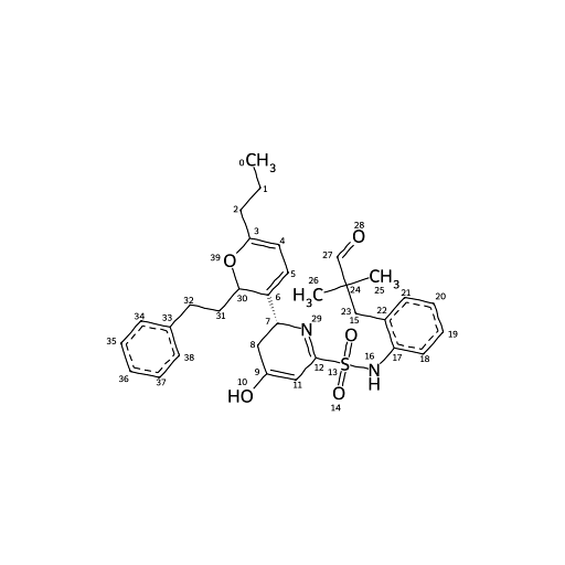 CCCC1=CC=C([C@H]2CC(O)=CC(S(=O)(=O)Nc3ccccc3CC(C)(C)C=O)=N2)C(CCc2ccccc2)O1